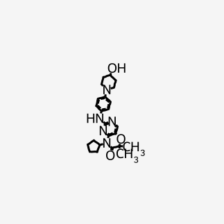 CC1(C)Oc2cnc(Nc3ccc(N4CCC(O)CC4)cc3)nc2N(C2CCCC2)C1=O